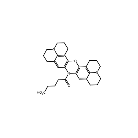 O=C(O)CCCC(=O)N1c2cc3c4c(c2Oc2c1cc1c5c2CCCN5CCC1)CCCN4CCC3